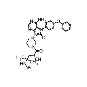 CC(C)NC(C)(C)C=C(C#N)C(=O)N1CCC[C@H](n2c(=O)n(-c3ccc(Oc4ccccc4)cc3)c3c(N)ncnc32)C1